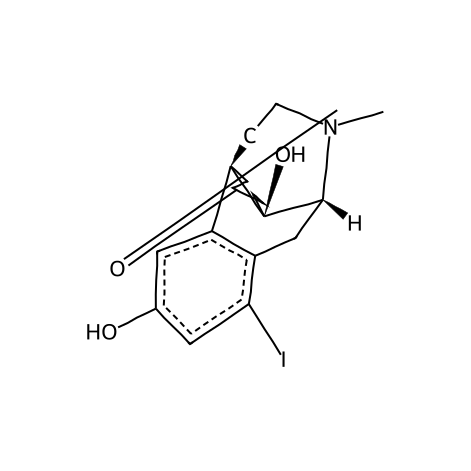 CN1CC[C@]23CC(=O)CC[C@@]2(O)[C@H]1Cc1c(I)cc(O)cc13